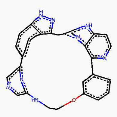 c1cc2cc(c1)-c1nccc3[nH]c(nc13)-c1n[nH]c3ccc(cc13)-c1cncc(n1)NCCO2